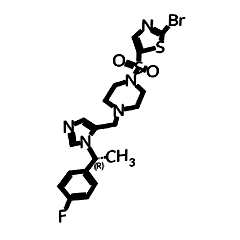 C[C@H](c1ccc(F)cc1)n1cncc1CN1CCN(S(=O)(=O)c2cnc(Br)s2)CC1